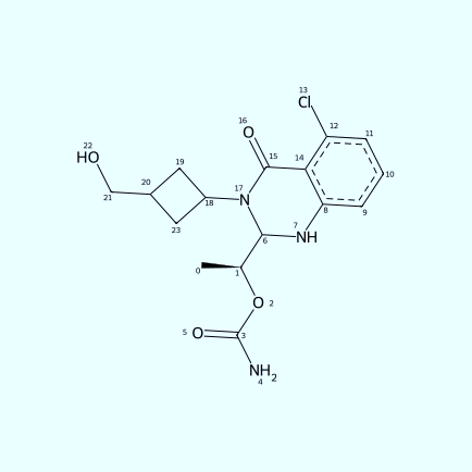 C[C@H](OC(N)=O)C1Nc2cccc(Cl)c2C(=O)N1C1CC(CO)C1